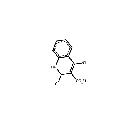 CCOC(=O)C1=C(Cl)c2ccccc2NC1Cl